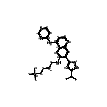 CC(C)c1nnc(-c2cc3nccc(Nc4ccncn4)c3nc2NCOCC[Si](C)(C)C)s1